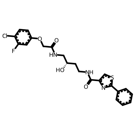 O=C(COc1ccc(Cl)c(F)c1)NC[C@@H](O)CCNC(=O)c1csc(-c2ccccc2)n1